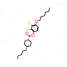 CCCCCCOc1ccc(OC(=O)[C@H]2CC[C@H](CCCCC)CC2)c(F)c1F